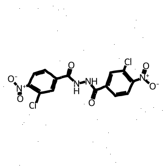 O=C(NNC(=O)c1ccc([N+](=O)[O-])c(Cl)c1)c1ccc([N+](=O)[O-])c(Cl)c1